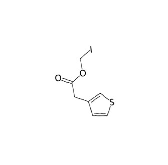 O=C(Cc1ccsc1)OCI